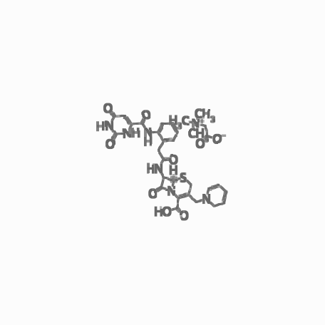 C[N+](C)(C)CC(=O)[O-].O=C(Cc1ccccc1NC(=O)c1cc(=O)[nH]c(=O)[nH]1)NC1C(=O)N2C(C(=O)O)=C(CN3C=CC=CC3)CS[C@H]12